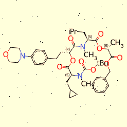 CC(C)C[C@@H](C(=O)O[C@H](C)C(=O)OCc1ccccc1)N(C)C(=O)[C@@H](CCc1ccc(N2CCOCC2)cc1)OC(=O)[C@H](CC1CC1)N(C)C(=O)OC(C)(C)C